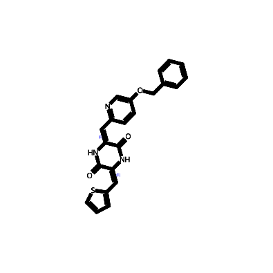 O=c1[nH]/c(=C/c2cccs2)c(=O)[nH]/c1=C/c1ccc(OCc2ccccc2)cn1